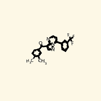 Cc1ccc(C(=O)c2cnn3c(-c4cccc(C(F)(F)F)c4)ccnc23)cc1C